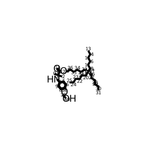 CC(C)(Nc1ccccc1)C(=O)[O-].CCCCCC[N+](CCCCCC)(CCCCCC)CCCCCC.O=CO